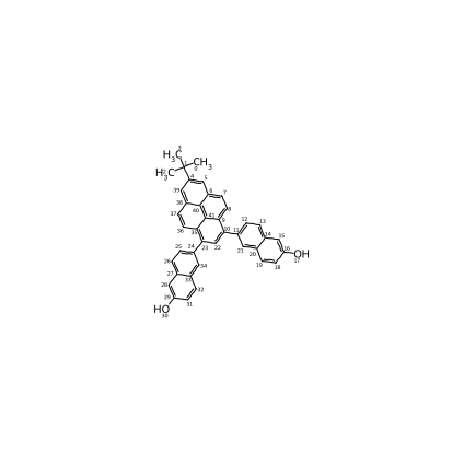 CC(C)(C)c1cc2ccc3c(-c4ccc5cc(O)ccc5c4)cc(-c4ccc5cc(O)ccc5c4)c4ccc(c1)c2c34